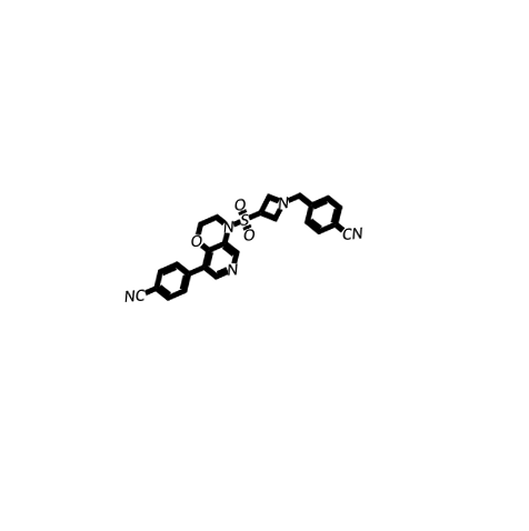 N#Cc1ccc(CN2CC(S(=O)(=O)N3CCOc4c(-c5ccc(C#N)cc5)cncc43)C2)cc1